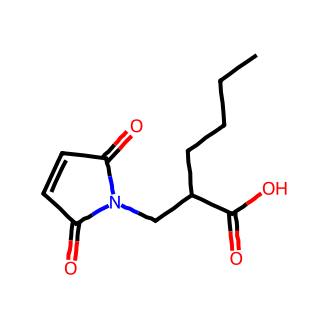 CCCCC(CN1C(=O)C=CC1=O)C(=O)O